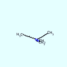 CCCCCCCCCCCCCCN1C=CN(C(C)C)C1CCCCCCCCCCCCC